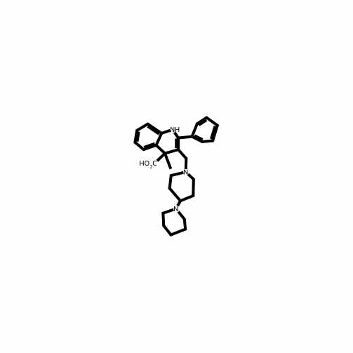 CC1(C(=O)O)C(CN2CCC(N3CCCCC3)CC2)=C(c2ccccc2)Nc2ccccc21